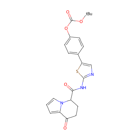 CC(C)(C)OC(=O)Oc1ccc(-c2cnc(NC(=O)C3CCC(=O)c4cccn43)s2)cc1